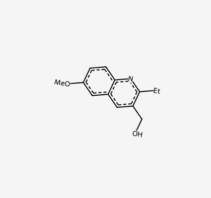 CCc1nc2ccc(OC)cc2cc1CO